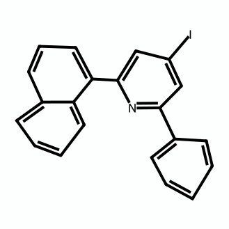 Ic1cc(-c2ccccc2)nc(-c2cccc3ccccc23)c1